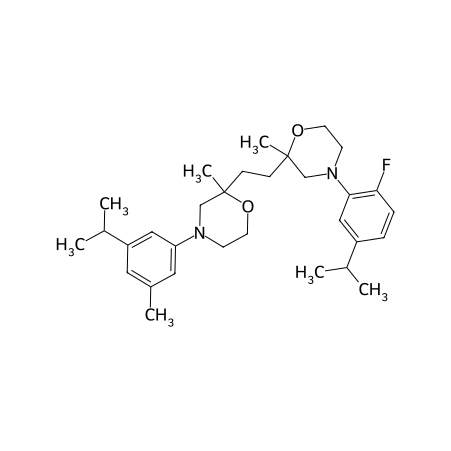 Cc1cc(C(C)C)cc(N2CCOC(C)(CCC3(C)CN(c4cc(C(C)C)ccc4F)CCO3)C2)c1